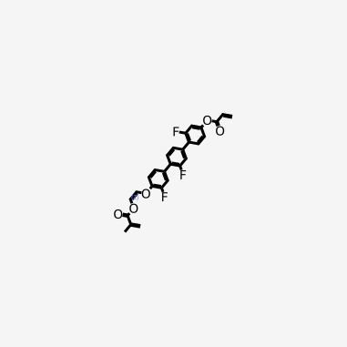 C=CC(=O)Oc1ccc(-c2ccc(-c3ccc(O/C=C\OC(=O)C(=C)C)c(F)c3)c(F)c2)c(F)c1